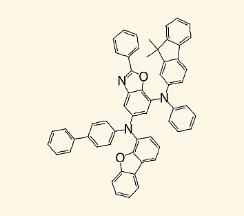 CC1(C)c2ccccc2-c2ccc(N(c3ccccc3)c3cc(N(c4ccc(-c5ccccc5)cc4)c4cccc5c4oc4ccccc45)cc4nc(-c5ccccc5)oc34)cc21